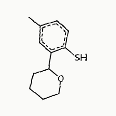 Cc1ccc(S)c(C2CCCCO2)c1